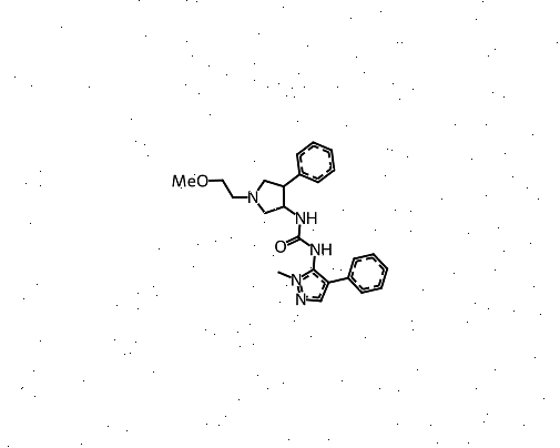 COCCN1CC(NC(=O)Nc2c(-c3ccccc3)cnn2C)C(c2ccccc2)C1